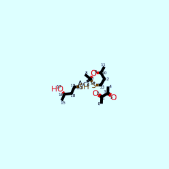 CC(=O)C(C)=O.CC(=O)C1(C)OC(C)CCS1.CC(O)CCS